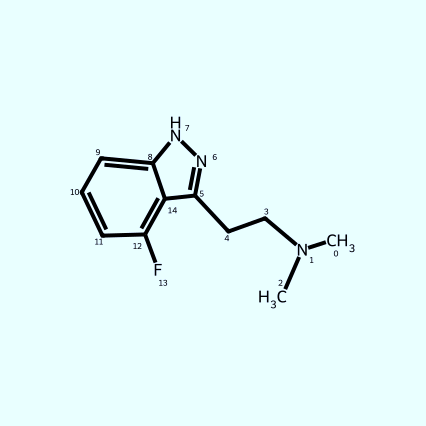 CN(C)CCc1n[nH]c2cccc(F)c12